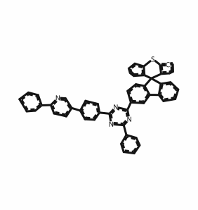 c1ccc(-c2ccc(-c3ccc(-c4nc(-c5ccccc5)nc(-c5ccc6c(c5)-c5ccccc5C65c6ccccc6Sc6ccccc65)n4)cc3)cn2)cc1